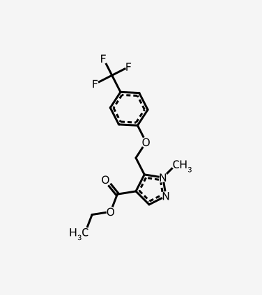 CCOC(=O)c1cnn(C)c1COc1ccc(C(F)(F)F)cc1